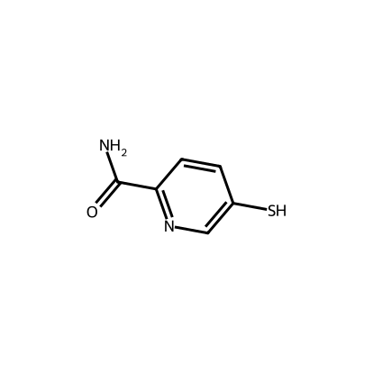 NC(=O)c1ccc(S)cn1